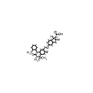 Cc1ccccc1N1C(=O)CC(C)(C)c2cc(F)c(COc3cc4c(cn3)[C@H]3[C@@H](C4)[C@@H]3C(=O)O)cc21